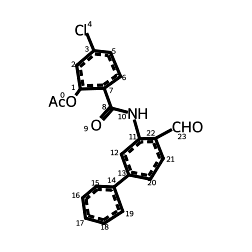 CC(=O)Oc1cc(Cl)ccc1C(=O)Nc1cc(-c2ccccc2)ccc1C=O